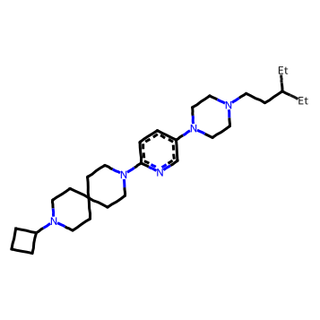 CCC(CC)CCN1CCN(c2ccc(N3CCC4(CC3)CCN(C3CCC3)CC4)nc2)CC1